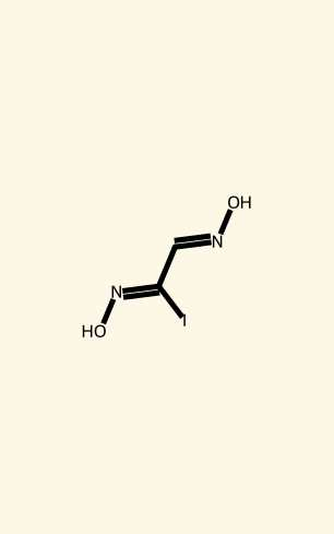 ON=CC(I)=NO